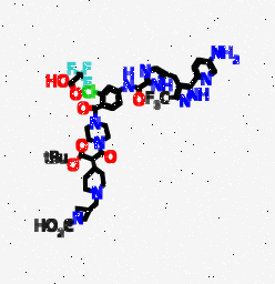 CC(C)(C)OC(=O)[C@@H](C(=O)N1CCN(C(=O)c2ccc(NC(=O)c3ncc(Cc4c(C(F)(F)F)n[nH]c4-c4ccc(N)cn4)[nH]3)cc2Cl)CC1)C1CCN(CC2CN(C(=O)O)C2)CC1.O=C(O)C(F)(F)F